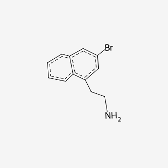 NCCc1cc(Br)cc2ccccc12